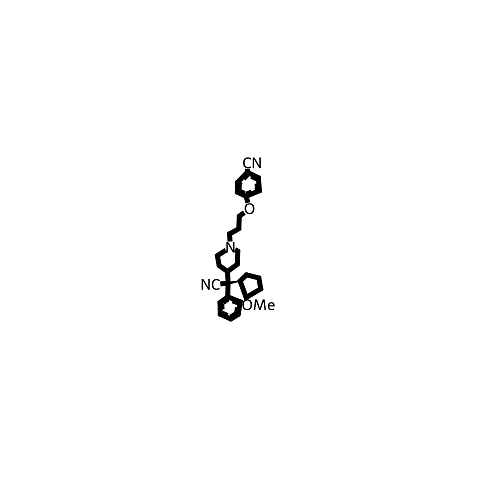 CO[C@H]1CCC[C@@H]1C(C#N)(c1ccccc1)C1CCN(CCCOc2ccc(C#N)cc2)CC1